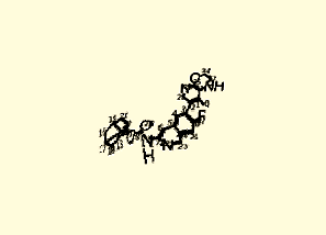 Cc1c(-c2cc3cc(NC(=O)OC4C5CC6CC(C5)CC4C6)ncc3cc2F)cnc2c1NCCO2